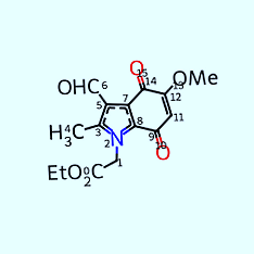 CCOC(=O)Cn1c(C)c(C=O)c2c1C(=O)C=C(OC)C2=O